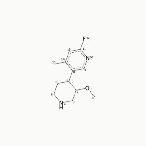 COC1CNCCC1c1cnc(F)cc1C